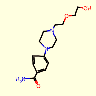 NC(=O)c1ccc(N2CCN(CCOCCO)CC2)cc1